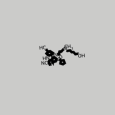 C#Cc1cccc(Nc2c(C#N)cnc3cc(OC4CCCC4)c(NC(=O)/C=C/CN(C)CCCCCCO)cc23)c1